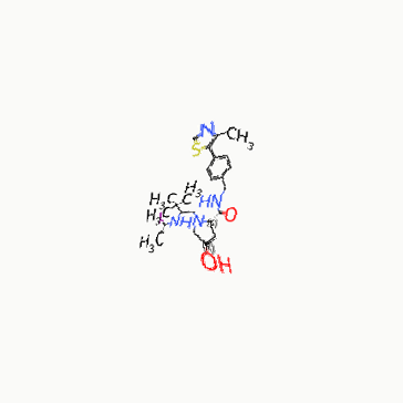 Cc1ncsc1-c1ccc(CNC(=O)[C@@H]2C[C@@H](O)CN2CC(NC(C)I)C(C)(C)C)cc1